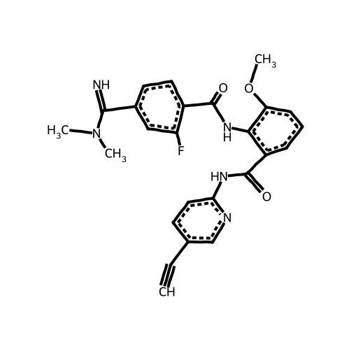 C#Cc1ccc(NC(=O)c2cccc(OC)c2NC(=O)c2ccc(C(=N)N(C)C)cc2F)nc1